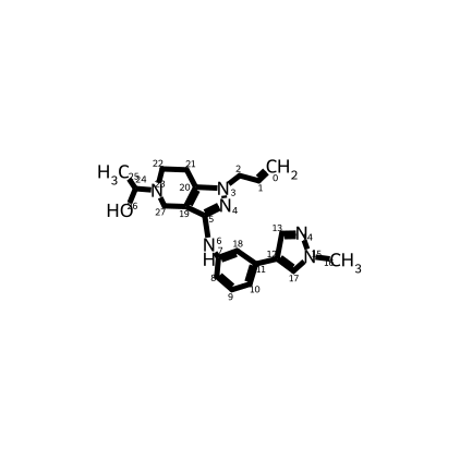 C=CCn1nc(Nc2cccc(-c3cnn(C)c3)c2)c2c1CCN(C(C)O)C2